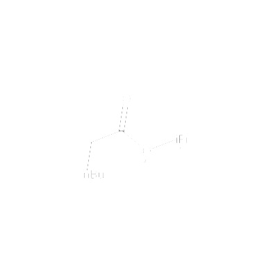 [CH2]CCCCC(=O)OC(C)C